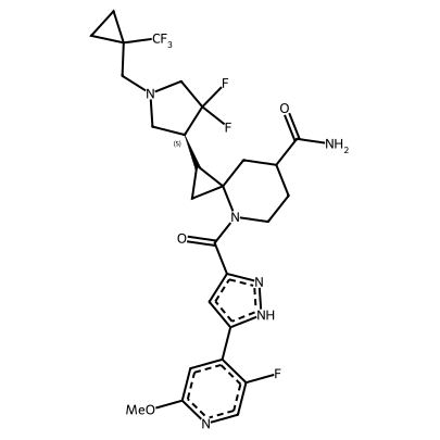 COc1cc(-c2cc(C(=O)N3CCC(C(N)=O)CC34CC4[C@H]3CN(CC4(C(F)(F)F)CC4)CC3(F)F)n[nH]2)c(F)cn1